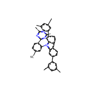 Cc1cc(C)cc(-c2ccc3c4ccc(-c5cc(C)cc(C)c5)cc4n(-c4cc(C#N)ccc4-c4nc(C)nc(C)n4)c3c2)c1